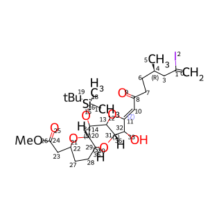 C=C(I)C[C@H](C)CCC(=O)/C=C1\OC2C(O[Si](C)(C)C(C)(C)C)[C@H]3OC(CC(=O)OC)CC[C@@H]3O[C@H]2C1O